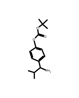 CC(C)C(P)c1ccc(OC(=O)OC(C)(C)C)cc1